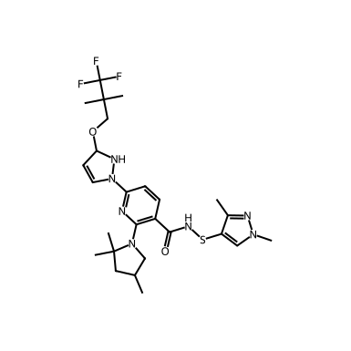 Cc1nn(C)cc1SNC(=O)c1ccc(N2C=CC(OCC(C)(C)C(F)(F)F)N2)nc1N1CC(C)CC1(C)C